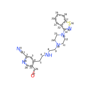 N#Cc1cc(CCNCCN2CCN(c3nsc4ccccc34)CC2)c(C=O)cn1